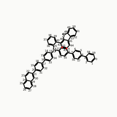 c1ccc(-c2ccc(-c3ccc(N(c4ccc(-c5ccc(-c6ccc7ccccc7c6)cc5)cc4)c4ccccc4-c4cccc5c4sc4ccccc45)cc3)cc2)cc1